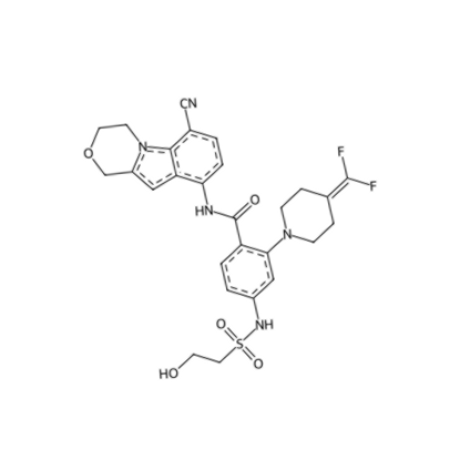 N#Cc1ccc(NC(=O)c2ccc(NS(=O)(=O)CCO)cc2N2CCC(=C(F)F)CC2)c2cc3n(c12)CCOC3